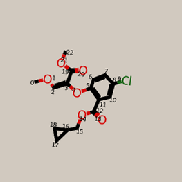 COC=C(Oc1ccc(Cl)cc1C(=O)OCC1CC1)C(=O)OC